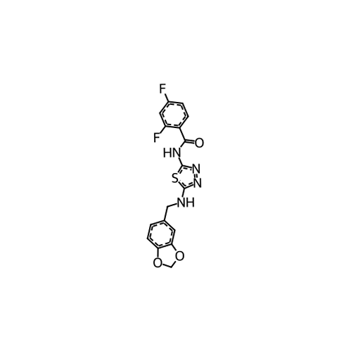 O=C(Nc1nnc(NCc2ccc3c(c2)OCO3)s1)c1ccc(F)cc1F